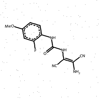 COc1ccc(NC(=O)N/C(C#N)=C(/N)C#N)c(F)c1